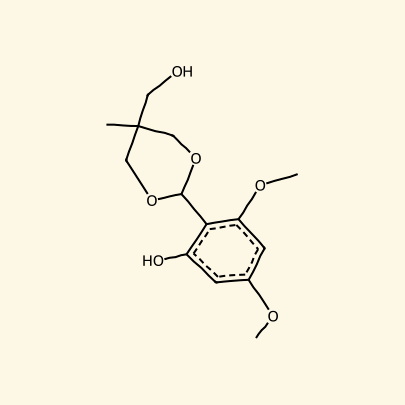 COc1cc(O)c(C2OCC(C)(CO)CO2)c(OC)c1